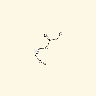 C/C=C\OC(=O)C[O]